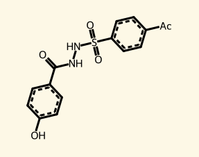 CC(=O)c1ccc(S(=O)(=O)NNC(=O)c2ccc(O)cc2)cc1